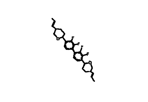 C/C=C/C1CCC(c2ccc(-c3ccc(C4CCC(/C=C/C)CO4)c(F)c3F)c(F)c2F)OC1